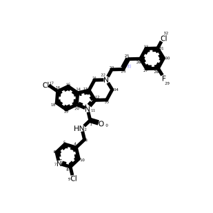 O=C(NCc1ccnc(Cl)c1)n1c2c(c3cc(Cl)ccc31)CN(C/C=C/c1cc(F)cc(Cl)c1)CC2